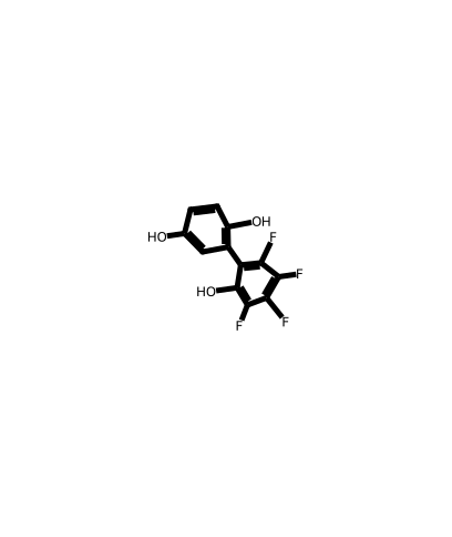 Oc1ccc(O)c(-c2c(O)c(F)c(F)c(F)c2F)c1